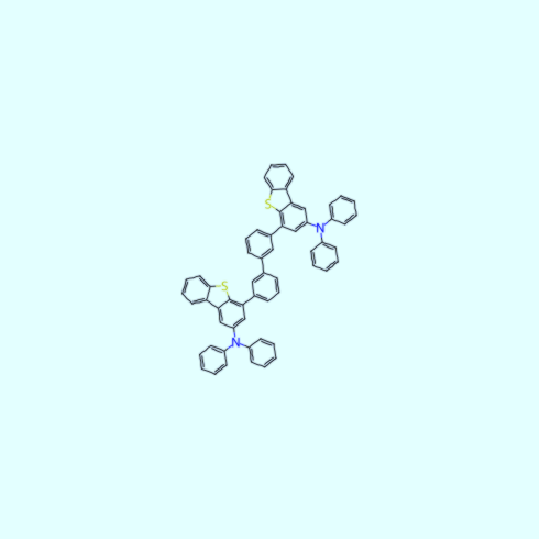 c1ccc(N(c2ccccc2)c2cc(-c3cccc(-c4cccc(-c5cc(N(c6ccccc6)c6ccccc6)cc6c5sc5ccccc56)c4)c3)c3sc4ccccc4c3c2)cc1